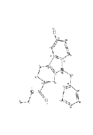 CCOC(=O)N1CCc2c(n(Cc3ccccc3)c3ccc(Cl)cc23)C1